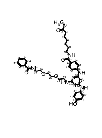 COC(=O)CCCCCCNC(=O)c1ccc(Nc2nc(NCCOCCOCCNC(=O)c3ccccc3)nc(Nc3ccc(O)cc3)n2)cc1